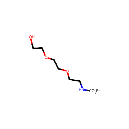 C[CH]OC(=O)NCCOCCOCCO